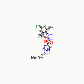 CNCCNc1ncc(S(=O)(=O)NC(=O)Nc2c(C(C)C)cc(Cl)cc2C(C)C)cn1